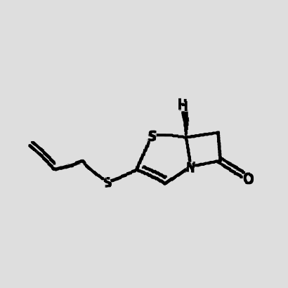 C=CCSC1=CN2C(=O)C[C@H]2S1